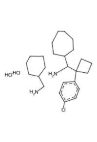 Cl.Cl.NC(C1CCCCCC1)C1(c2ccc(Cl)cc2)CCC1.NCC1CCCCC1